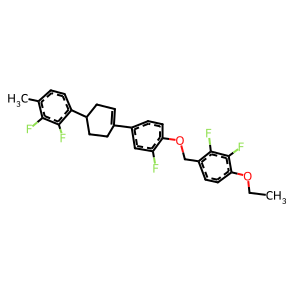 CCOc1ccc(COc2ccc(C3=CCC(c4ccc(C)c(F)c4F)CC3)cc2F)c(F)c1F